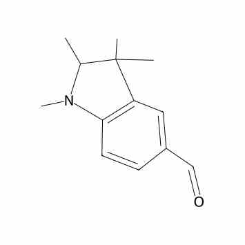 CC1N(C)c2ccc(C=O)cc2C1(C)C